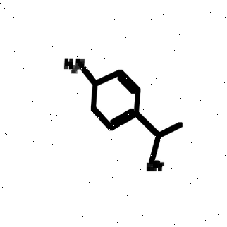 CCCC(C)C1=CCC(N)C=C1